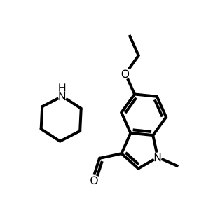 C1CCNCC1.CCOc1ccc2c(c1)c(C=O)cn2C